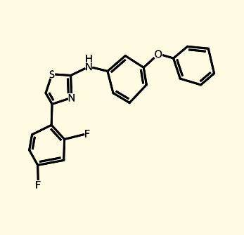 Fc1ccc(-c2csc(Nc3cccc(Oc4ccccc4)c3)n2)c(F)c1